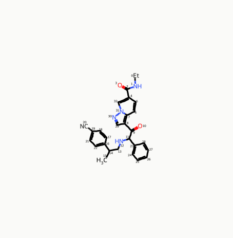 CCNC(=O)c1ccc2c(C(=O)C(NCC(C)c3ccc(C#N)cc3)c3ccccc3)cnn2c1